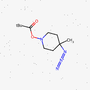 CC1(N=[N+]=[N-])CCN(OC(=O)C(C)(C)C)CC1